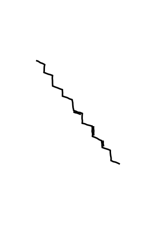 CCCC=CC=CCC=CCCCCCCCC